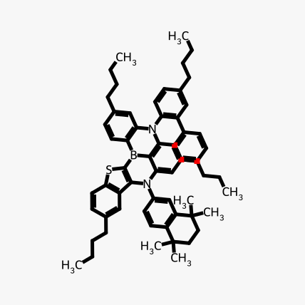 CCCCc1ccc(N2c3cc(CCCC)ccc3B3c4sc5ccc(CCCC)cc5c4N(c4ccc5c(c4)C(C)(C)CCC5(C)C)c4cc(CCCC)cc2c43)c(-c2ccccc2)c1